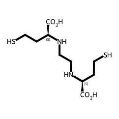 O=C(O)[C@H](CCS)NCCN[C@@H](CCS)C(=O)O